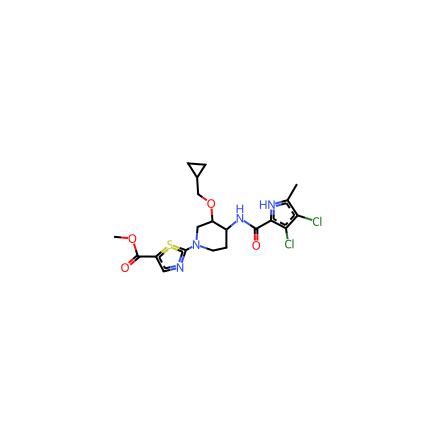 COC(=O)c1cnc(N2CCC(NC(=O)c3[nH]c(C)c(Cl)c3Cl)C(OCC3CC3)C2)s1